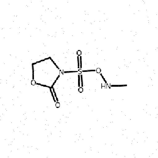 CNOS(=O)(=O)N1CCOC1=O